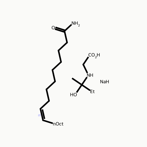 CCC(C)(O)NCC(=O)O.CCCCCCCC/C=C\CCCCCCCC(N)=O.[NaH]